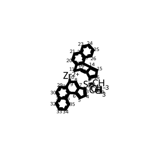 C[Si]1(C)C2=CC=C3C2=C[CH]([Zr+2][CH]2C=C4C(=CC=C41)c1c2ccc2ccccc12)c1ccc2ccccc2c13.[Cl-].[Cl-]